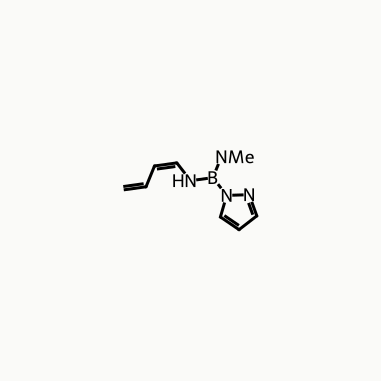 C=C/C=C\NB(NC)n1cccn1